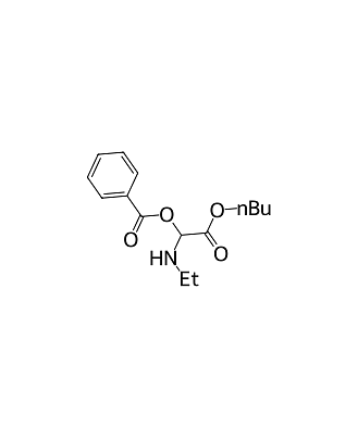 CCCCOC(=O)C(NCC)OC(=O)c1ccccc1